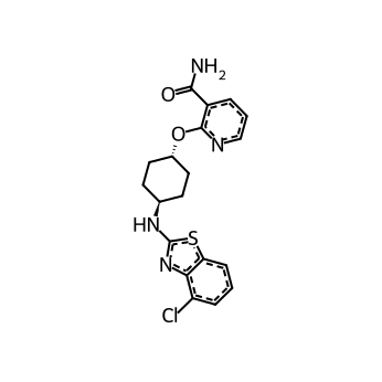 NC(=O)c1cccnc1O[C@H]1CC[C@H](Nc2nc3c(Cl)cccc3s2)CC1